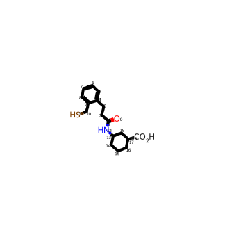 O=C(CCc1ccccc1CS)NC1CCCC(C(=O)O)C1